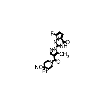 CCC1(C#N)CCN(C(=O)c2cnn(-c3nn4c(F)ccc4c(=O)[nH]3)c2C)CC1